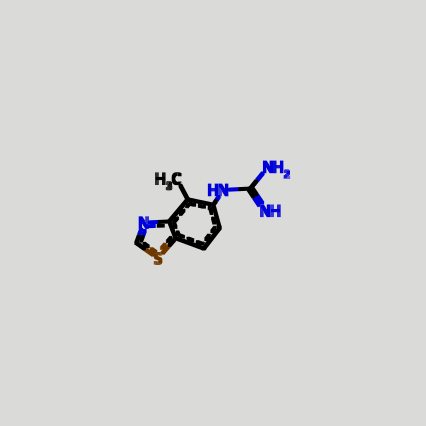 Cc1c(NC(=N)N)ccc2scnc12